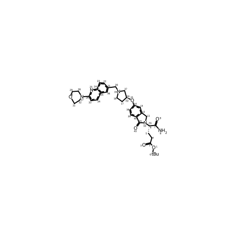 CC(C)(C)OC(=O)CC[C@@H](C(N)=O)N1Cc2cc(O[C@H]3CCN(Cc4ccc5nc(N6CCOCC6)ccc5c4)C3)ccc2C1=O